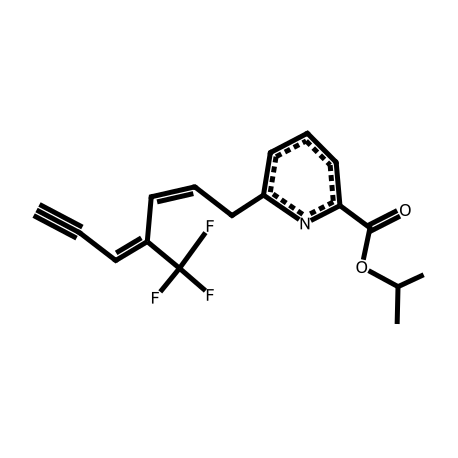 C#C/C=C(\C=C/Cc1cccc(C(=O)OC(C)C)n1)C(F)(F)F